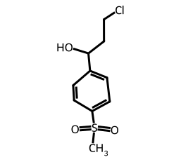 CS(=O)(=O)c1ccc(C(O)CCCl)cc1